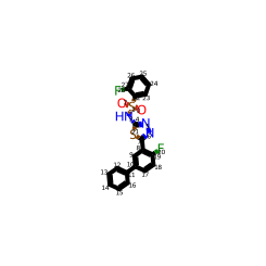 O=S(=O)(Nc1nnc(-c2cc(-c3ccccc3)ccc2F)s1)c1ccccc1F